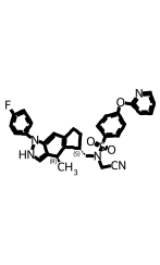 C[C@H]1C2=CNN(c3ccc(F)cc3)C2=CC2=C1[C@@H](CN(CC#N)S(=O)(=O)c1ccc(Oc3ccccn3)cc1)CC2